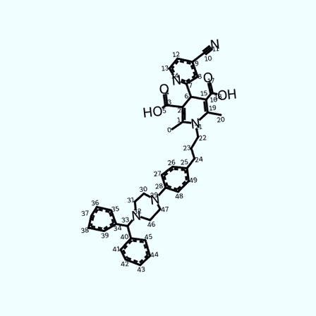 CC1=C(C(=O)O)C(c2cc(C#N)ccn2)C(C(=O)O)=C(C)N1CCCc1ccc(N2CCN(C(c3ccccc3)c3ccccc3)CC2)cc1